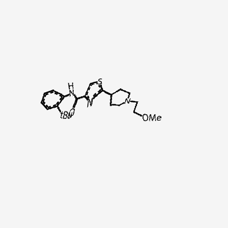 COCCN1CCC(c2nc(C(=O)Nc3ccccc3C(C)(C)C)cs2)CC1